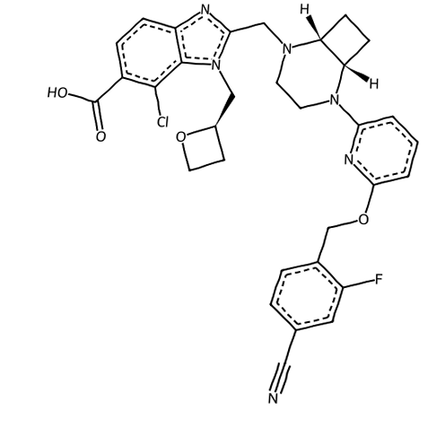 N#Cc1ccc(COc2cccc(N3CCN(Cc4nc5ccc(C(=O)O)c(Cl)c5n4C[C@H]4CCO4)[C@@H]4CC[C@@H]43)n2)c(F)c1